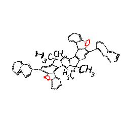 CC1(C)c2cc3c(cc2-c2c1cc(-c1ccc4ccccc4c1)c1oc4ccccc4c21)C(C)(C)c1cc(-c2ccc4ccccc4c2)c2oc4ccccc4c2c1-3